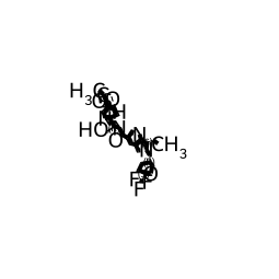 CC[C@H]1c2ncc(C(=O)N[C@@H](CO)c3ccc(S(=O)(=O)CC)cn3)cc2CN1C[C@H]1CC[C@@H](C(F)(F)F)OC1